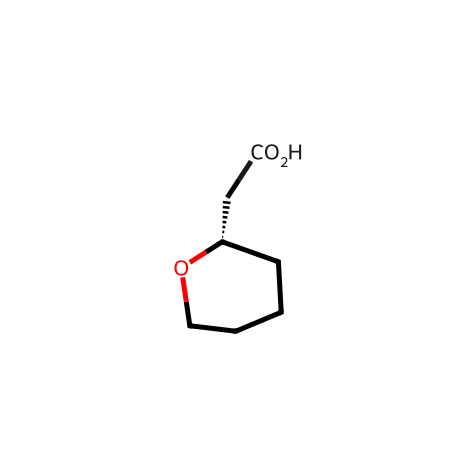 O=C(O)C[C@@H]1CCCCO1